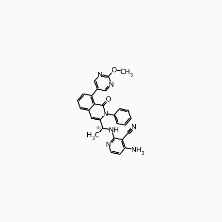 COc1ncc(-c2cccc3cc([C@H](C)Nc4nccc(N)c4C#N)n(-c4ccccc4)c(=O)c23)cn1